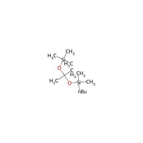 CCCC[Si](C)(C)OC(C)(C)O[Si](C)(C)C